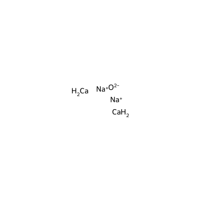 [CaH2].[CaH2].[Na+].[Na+].[O-2]